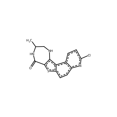 CC1CNc2c(sc3ccc4nc(Cl)ccc4c23)C(=O)N1